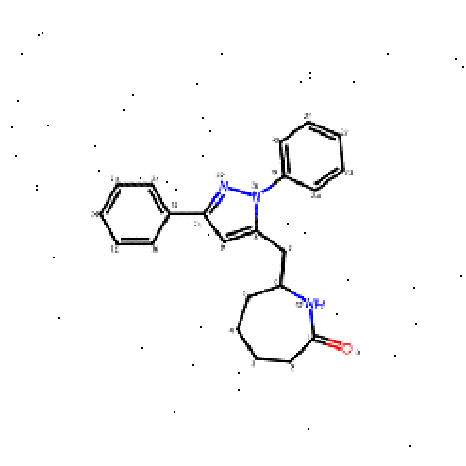 O=C1CCCCC(Cc2cc(-c3ccccc3)nn2-c2ccccc2)N1